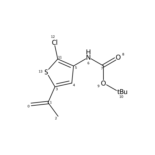 C=C(C)c1cc(NC(=O)OC(C)(C)C)c(Cl)s1